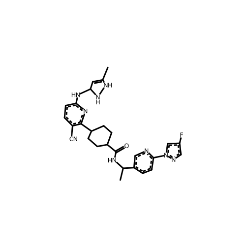 CC1=CC(Nc2ccc(C#N)c(C3CCC(C(=O)NC(C)c4ccc(-n5cc(F)cn5)nc4)CC3)n2)NN1